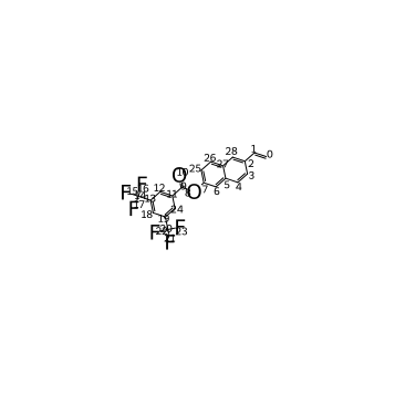 C=Cc1ccc2cc(OC(=O)c3cc(C(F)(F)F)cc(C(F)(F)F)c3)ccc2c1